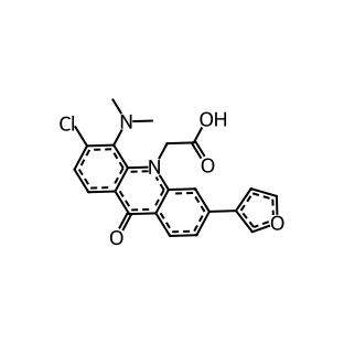 CN(C)c1c(Cl)ccc2c(=O)c3ccc(-c4ccoc4)cc3n(CC(=O)O)c12